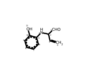 C=CC(C=O)Nc1ccccc1O